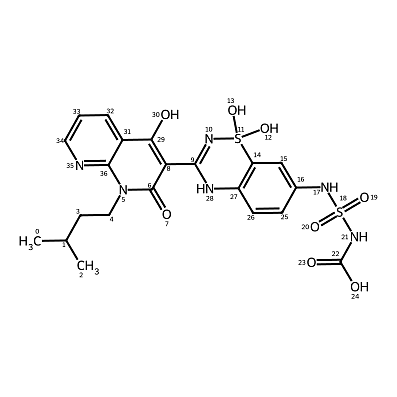 CC(C)CCn1c(=O)c(C2=NS(O)(O)c3cc(NS(=O)(=O)NC(=O)O)ccc3N2)c(O)c2cccnc21